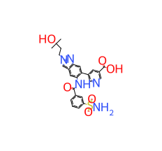 CC(C)(O)CCn1cc2cc(NC(=O)c3cccc(S(N)(=O)=O)c3)c(-c3cncc(C(=O)O)c3)cc2n1